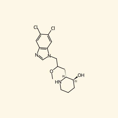 COC(C[C@H]1NCCC[C@@H]1O)Cn1cnc2cc(Cl)c(Cl)cc21